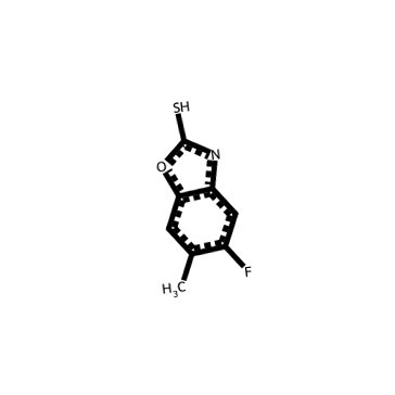 Cc1cc2oc(S)nc2cc1F